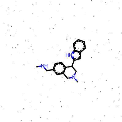 CNCc1ccc2c(c1)CN(C)CC2c1cc2ccccc2[nH]1